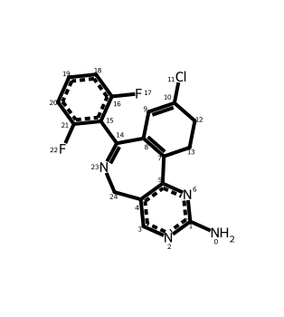 Nc1ncc2c(n1)C1=C(C=C(Cl)CC1)C(c1c(F)cccc1F)=NC2